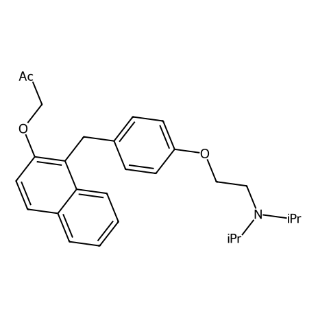 CC(=O)COc1ccc2ccccc2c1Cc1ccc(OCCN(C(C)C)C(C)C)cc1